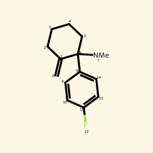 C=C1CCCCC1(NC)c1ccc(F)cc1